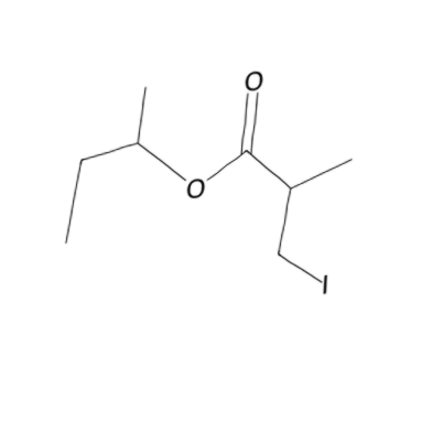 CCC(C)OC(=O)C(C)CI